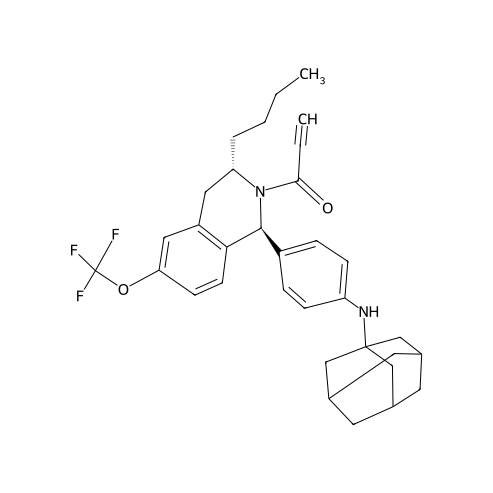 C#CC(=O)N1[C@@H](CCCC)Cc2cc(OC(F)(F)F)ccc2[C@@H]1c1ccc(NC23CC4CC(CC(C4)C2)C3)cc1